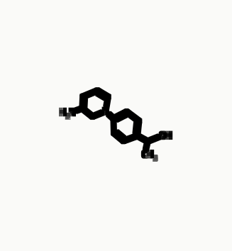 CC(O)c1ccc(N2C=CC=C(N)C2)cc1